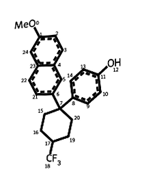 COc1ccc2cc(C3(c4ccc(O)cc4)CCC(C(F)(F)F)CC3)ccc2c1